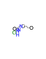 Clc1cccc2c(CN3CC=C(CCc4ccccc4)CC3)n[nH]c12